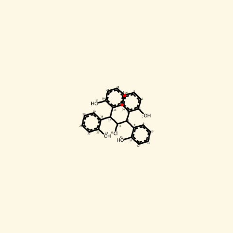 Oc1ccccc1C(c1ccccc1O)C(Cl)C(c1ccccc1O)c1ccccc1O